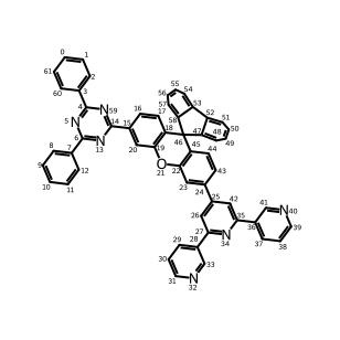 c1ccc(-c2nc(-c3ccccc3)nc(-c3ccc4c(c3)Oc3cc(-c5cc(-c6cccnc6)nc(-c6cccnc6)c5)ccc3C43c4ccccc4-c4ccccc43)n2)cc1